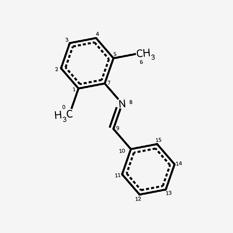 Cc1cccc(C)c1/N=C/c1ccccc1